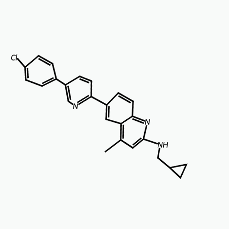 Cc1cc(NCC2CC2)nc2ccc(-c3ccc(-c4ccc(Cl)cc4)cn3)cc12